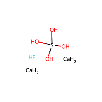 F.O[Si](O)(O)O.[CaH2].[CaH2]